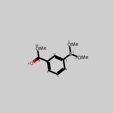 COB(OC)c1cccc(C(=O)OC)c1